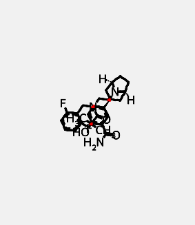 CC(C)(O)C(=O)N(CCN1[C@@H]2CC[C@H]1C[C@@H](c1cccc(C(N)=O)c1)C2)Cc1c(F)cccc1F